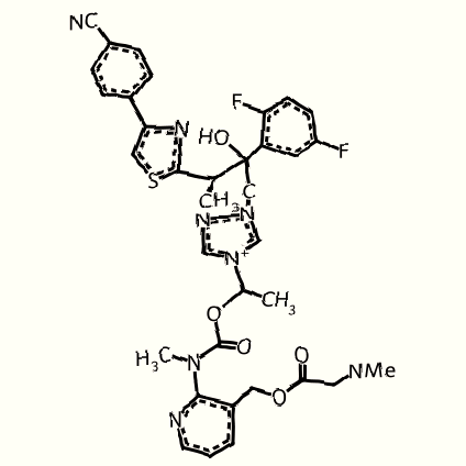 CNCC(=O)OCc1cccnc1N(C)C(=O)OC(C)[n+]1cnn(CC(O)(c2cc(F)ccc2F)[C@@H](C)c2nc(-c3ccc(C#N)cc3)cs2)c1